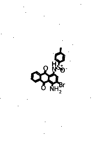 Cc1ccc([S+]([O-])Nc2cc(Br)c(N)c3c2C(=O)c2ccccc2C3=O)cc1